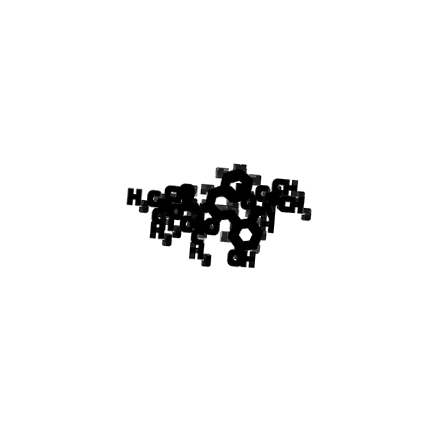 CC(C)(C)NC(=O)C1CCC(O)CC1CC1OC(C)(C)N(C(=O)OC(C)(C)C)C1Cc1ccccc1